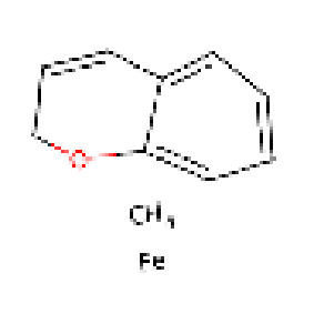 C.C1=Cc2ccccc2OC1.[Fe]